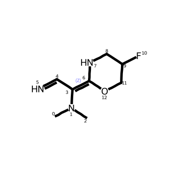 CN(C)/C(C=N)=C1/NCC(F)CO1